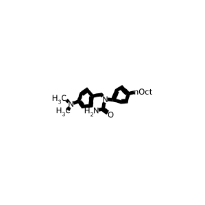 CCCCCCCCc1ccc(N(Cc2ccc(N(C)C)cc2)C(N)=O)cc1